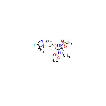 COC(=O)N1[C@H](C)C[C@H](NS(C)(=O)=O)[C@@H]1COC1CCC2(c3ncc(F)c(C)n3)CC2C1